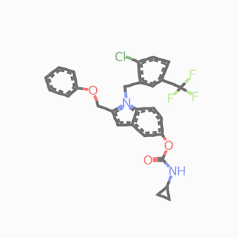 O=C(NC1CC1)Oc1ccc2c(c1)cc(COc1ccccc1)n2Cc1cc(C(F)(F)F)ccc1Cl